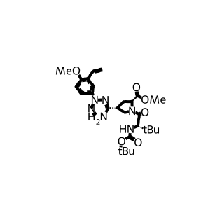 C=Cc1cc(N(N=C)/N=C(\N)[C@@H]2C[C@@H](C(=O)OC)N(C(=O)[C@@H](NC(=O)OC(C)(C)C)C(C)(C)C)C2)ccc1OC